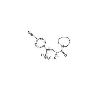 C/N=C(\C=C(/C)c1ccc(C#N)cc1)C(=O)N1CCCCCC1